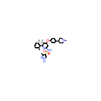 Cc1ccccc1-c1nc(NS(=O)(=O)c2c[nH]nc2C)cc(Oc2ccc(C3CCN(C)CC3)cc2)c1C(F)(F)F